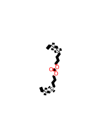 C=C[Si](C)(C)C[Si](C)(C)CCCCOC(=O)OCCCC[Si](C)(C)C[Si](C)(C)C=C